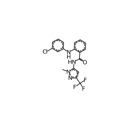 Cn1nc(C(F)(F)F)cc1NC(=O)c1ccccc1Nc1cccc(Cl)c1